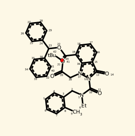 CCN(Cc1ccccc1C)C(=O)n1c(=O)c2cccc(C(=O)OC(c3ccccc3)c3ccccc3)c2n1CC(=O)OC(C)(C)C